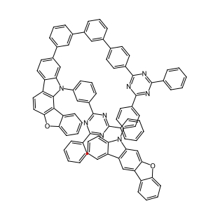 c1ccc(-c2nc(-c3ccc(-c4cccc(-c5cccc(-c6ccc7c8ccc9oc%10ccccc%10c9c8n(-c8cccc(-c9nc(-c%10ccccc%10)nc(-c%10ccccc%10)n9)c8)c7c6)c5)c4)cc3)nc(-c3ccc(-n4c5ccccc5c5cc6c(cc54)oc4ccccc46)cc3)n2)cc1